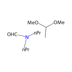 CCCN(C=O)CCC.COC(C)OC